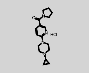 Cl.O=C(c1ccc(N2CCN(C3CC3)CC2)nc1)N1CCCC1